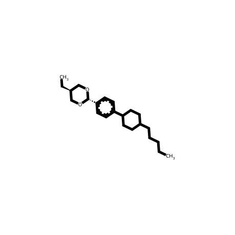 CCCCCC1CCC(c2ccc([C@H]3OC[C@H](CC)CO3)cc2)CC1